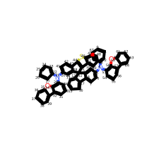 c1ccc(N(c2ccc3c(c2)C2(c4ccccc4-3)c3cc(N(c4ccccc4)c4cccc5c4oc4ccccc45)ccc3-c3sc4ccccc4c32)c2cccc3c2oc2ccccc23)cc1